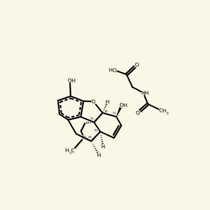 CC(=O)NCC(=O)O.CN1CC[C@]23c4c5ccc(O)c4O[C@H]2[C@@H](O)C=C[C@H]3[C@H]1C5